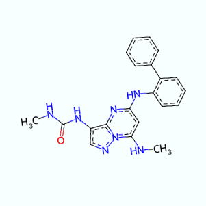 CNC(=O)Nc1cnn2c(NC)cc(Nc3ccccc3-c3ccccc3)nc12